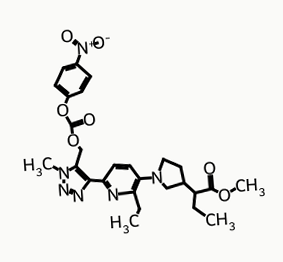 CCc1nc(-c2nnn(C)c2COC(=O)Oc2ccc([N+](=O)[O-])cc2)ccc1N1CCC(C(CC)C(=O)OC)C1